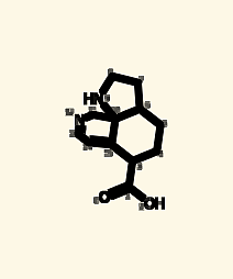 O=C(O)C1CCC2CCNC23CN=CC=C13